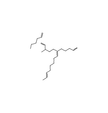 C=CCCCC.C=CCCCC(=CCCCCC=CC)CCC(C)C=C